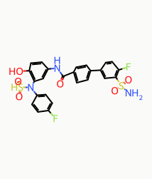 NS(=O)(=O)c1cc(-c2ccc(C(=O)Nc3ccc(O)c(N(c4ccc(F)cc4)[SH](=O)=O)c3)cc2)ccc1F